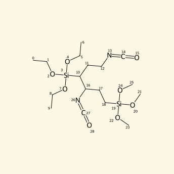 CCO[Si](OCC)(OCC)C(CCN=C=O)C(CC[Si](OC)(OC)OC)N=C=O